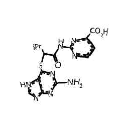 CC(C)[C@H](Sc1nc(N)nc2nc[nH]c12)C(=O)Nc1nccc(C(=O)O)n1